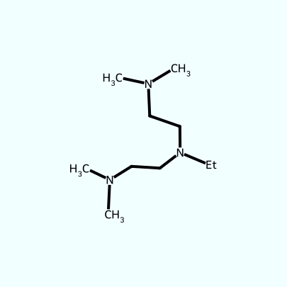 CCN(CCN(C)C)CCN(C)C